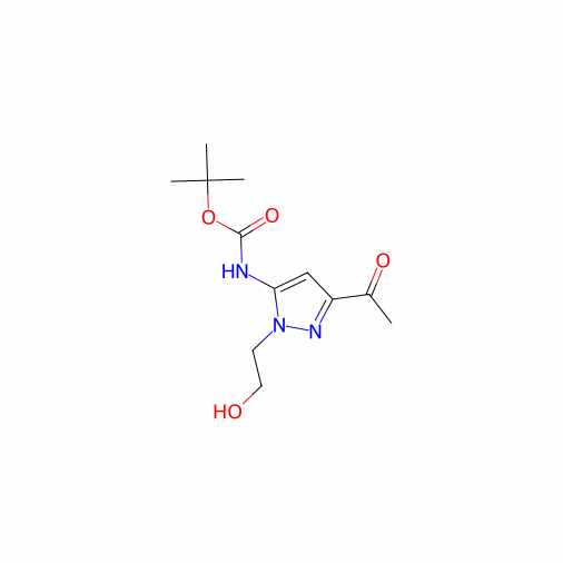 CC(=O)c1cc(NC(=O)OC(C)(C)C)n(CCO)n1